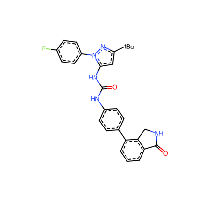 CC(C)(C)c1cc(NC(=O)Nc2ccc(-c3cccc4c3CNC4=O)cc2)n(-c2ccc(F)cc2)n1